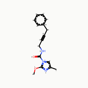 COc1nc(C)cn1C(=O)NCC#CCc1ccccc1